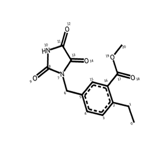 CCc1ccc(CN2C(=O)NC(=O)C2=O)cc1C(=O)OC